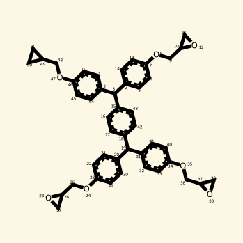 c1cc(C(c2ccc(OCC3CO3)cc2)c2ccc(C(c3ccc(OCC4CO4)cc3)c3ccc(OCC4CO4)cc3)cc2)ccc1OCC1CC1